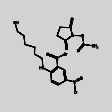 NC(=O)ON1C(=O)CCC1=O.O=[N+]([O-])c1ccc(NCCCCCCO)c([N+](=O)[O-])c1